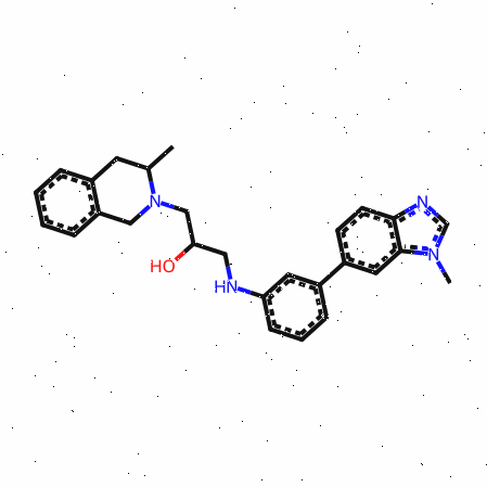 CC1Cc2ccccc2CN1CC(O)CNc1cccc(-c2ccc3ncn(C)c3c2)c1